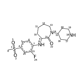 CS(=O)(=O)c1ccc(NC2CCCCN(C3CCNCC3)C2=O)c(F)c1